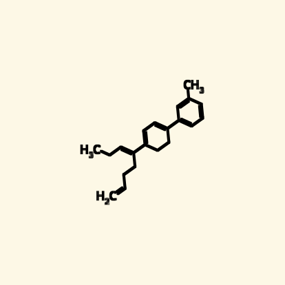 C=CCC/C(=C\CC)C1=CC=C(c2cccc(C)c2)CC1